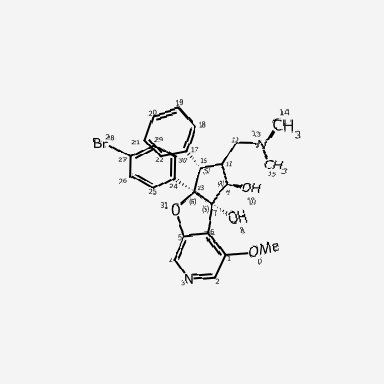 COc1cncc2c1[C@]1(O)[C@H](O)C(CN(C)C)[C@@H](c3ccccc3)[C@]1(c1ccc(Br)cc1)O2